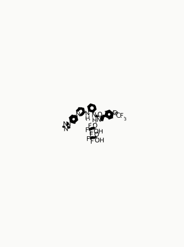 FC(F)(F)Oc1ccc(-c2cnc(N[C@@H]3CCCC[C@H]3N[C@H]3CCCN(c4ccc(-n5cncn5)cc4)C3)o2)cc1.O=C(O)C(F)(F)F.O=C(O)C(F)(F)F